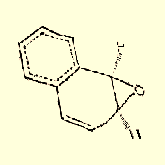 C1=C[C@@H]2O[C@@H]2c2ccccc21